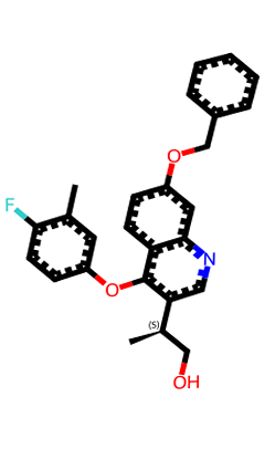 Cc1cc(Oc2c([C@H](C)CO)cnc3cc(OCc4ccccc4)ccc23)ccc1F